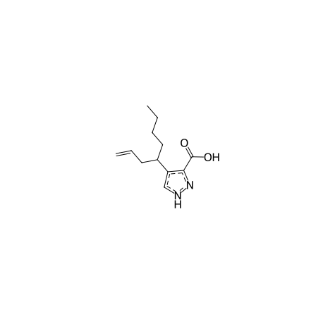 C=CCC(CCCC)c1c[nH]nc1C(=O)O